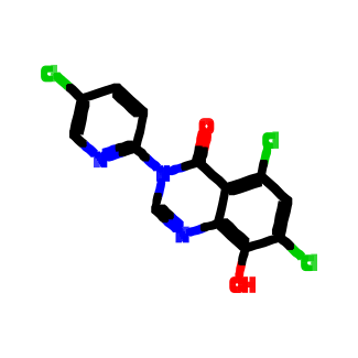 O=c1c2c(Cl)cc(Cl)c(O)c2ncn1-c1ccc(Cl)cn1